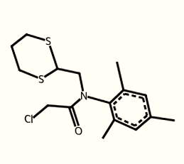 Cc1cc(C)c(N(CC2SCCCS2)C(=O)CCl)c(C)c1